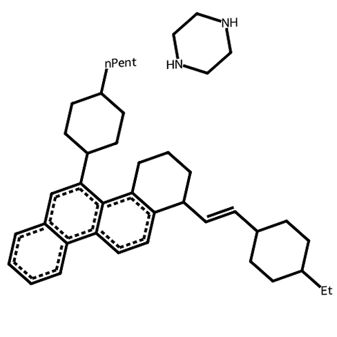 C1CNCCN1.CCCCCC1CCC(c2cc3ccccc3c3ccc4c(c23)CCCC4C=CC2CCC(CC)CC2)CC1